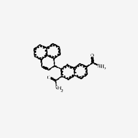 NC(=O)c1ccc2cc(C(N)=O)c(C3C=Cc4cccc5cccc3c45)cc2c1